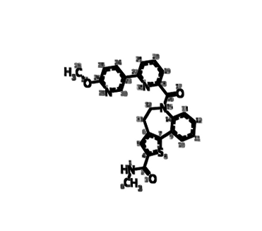 CNC(=O)c1cc2c(s1)-c1ccccc1N(C(=O)c1cccc(-c3ccc(OC)nc3)n1)CC2